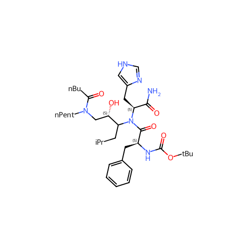 CCCCCN(C[C@H](O)C(CC(C)C)N(C(=O)[C@H](Cc1ccccc1)NC(=O)OC(C)(C)C)[C@@H](Cc1c[nH]cn1)C(N)=O)C(=O)CCCC